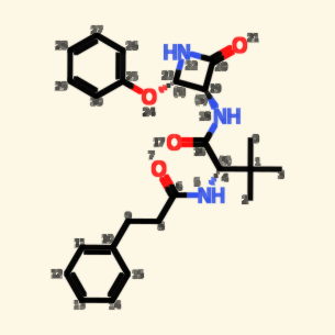 CC(C)(C)[C@H](NC(=O)CCc1ccccc1)C(=O)N[C@@H]1C(=O)N[C@H]1Oc1ccccc1